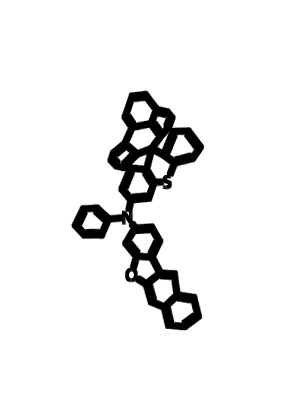 c1ccc(N(c2ccc3c(c2)Sc2ccccc2C32c3ccccc3-c3cccc4cccc2c34)c2ccc3c(c2)oc2cc4ccccc4cc23)cc1